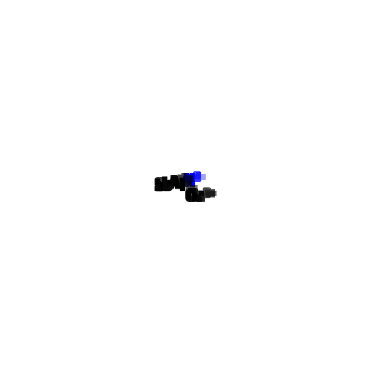 [Al+3].[Ga+3].[N-3].[SbH6-3]